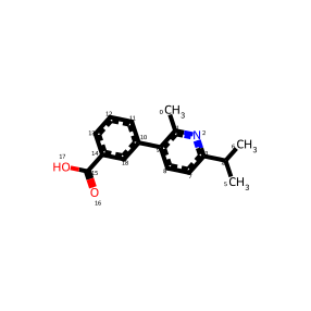 Cc1nc(C(C)C)ccc1-c1cccc(C(=O)O)c1